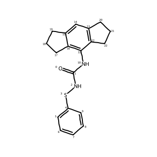 O=C(NSc1ccccc1)Nc1c2c(cc3c1CCC3)CCC2